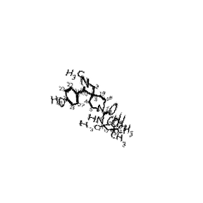 CN1CC2(CCN(C(=O)NC(C)(C)CC(C)(C)C)CC2)C1c1ccc(O)cc1